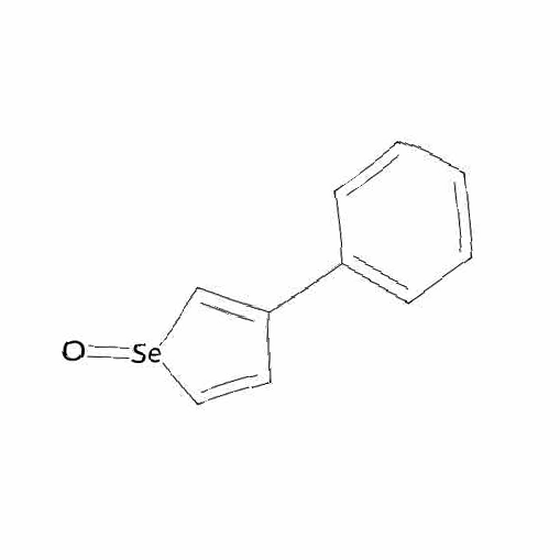 O=[Se]1C=CC(c2ccccc2)=C1